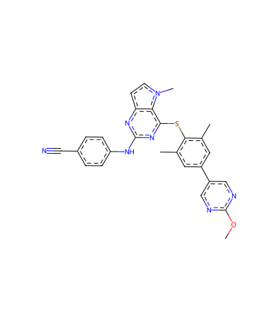 COc1ncc(-c2cc(C)c(Sc3nc(Nc4ccc(C#N)cc4)nc4ccn(C)c34)c(C)c2)cn1